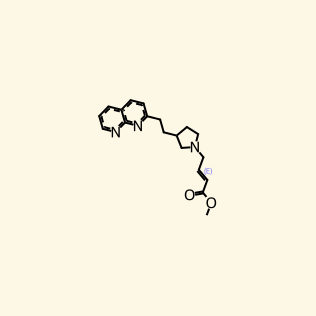 COC(=O)/C=C/CN1CCC(CCc2ccc3cccnc3n2)C1